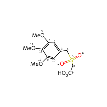 COc1cc(CS(=O)(=O)CC(=O)O)cc(OC)c1OC